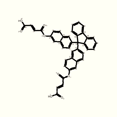 O=C(O)/C=C/C(=O)Oc1ccc2cc(C3(c4ccc5cc(OC(=O)/C=C/C(=O)O)ccc5c4)c4ccccc4-c4ccccc43)ccc2c1